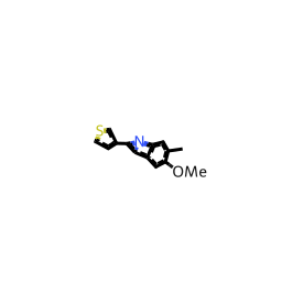 COc1cc2c3c(-c4ccsc4)n-3c2cc1C